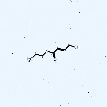 CC[CH]NC(=O)C=CCC